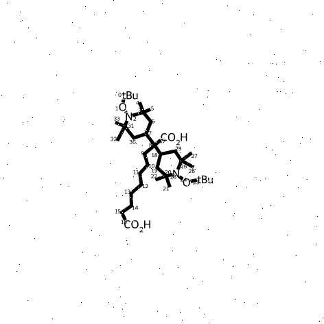 CC(C)(C)ON1C(C)(C)CC(C(CCCCCCCC(=O)O)(C(=O)O)C2CC(C)(C)N(OC(C)(C)C)C(C)(C)C2)CC1(C)C